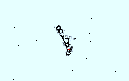 C[C@@H]1CN(CC(O)CN2CCc3ccccc3C2)C(=O)c2ccc(OC3CC4CCC(C3)N4CCF)cc2O1